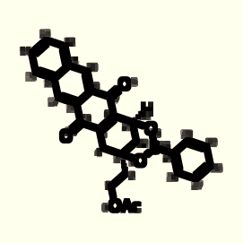 CC(=O)OCC[C@]12CC3=C(C(=O)c4cc5ccccc5cc4C3=O)[C@H](C1)OB(c1ccccc1)O2